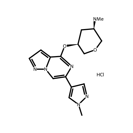 CN[C@H]1COC[C@@H](Oc2nc(-c3cnn(C)c3)cn3nccc23)C1.Cl